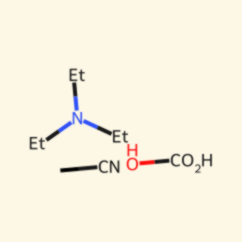 CC#N.CCN(CC)CC.O=C(O)O